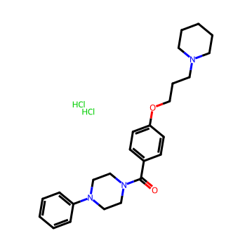 Cl.Cl.O=C(c1ccc(OCCCN2CCCCC2)cc1)N1CCN(c2ccccc2)CC1